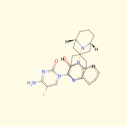 Nc1nc(=O)n(-c2nc3ccccc3n([C@H]3C[C@H]4CCC[C@@H](C3)N4[C@H]3C[C@@H]4CCC[C@@H](C4)C3)c2=O)cc1F